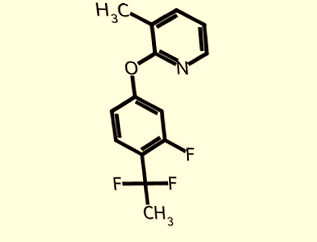 Cc1cccnc1Oc1ccc(C(C)(F)F)c(F)c1